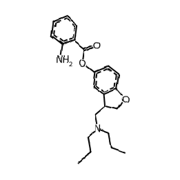 CCCN(CCC)CC1COc2ccc(OC(=O)c3ccccc3N)cc21